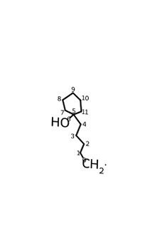 [CH2]CCCCC1(O)CCCCC1